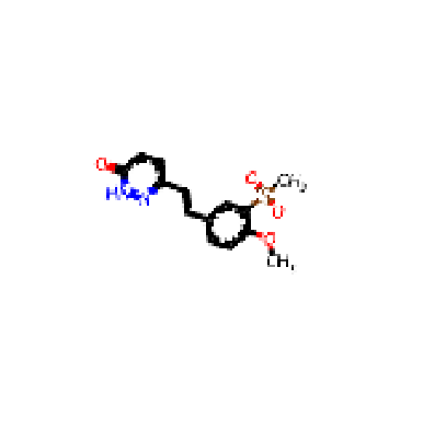 COc1ccc(C=Cc2ccc(=O)[nH]n2)cc1S(C)(=O)=O